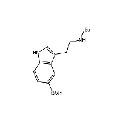 CCC(C)NCCc1c[nH]c2ccc(OC)cc12